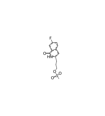 CS(=O)(=O)OCCCc1cc2ccc(F)cc2c(=O)[nH]1